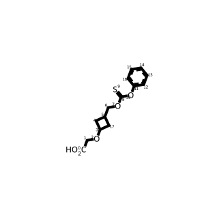 O=C(O)COC1CC(COC(=S)Oc2ccccc2)C1